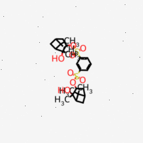 CC1(C)C2CC(OS(=O)(=O)c3cccc(S(=O)(=O)OC4CC5CC(C5(C)C)C4(C)O)c3)C(C)(O)C1C2